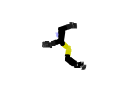 C=CS/C(=C\CC)C(C)(C)C